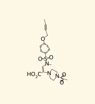 CC#CCOc1ccc(S(=O)(=O)N(C)C=C(C(=O)O)N2CCN(S(C)(=O)=O)CC2)cc1